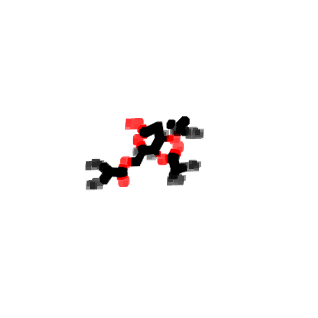 CCCC(CCC)C(=O)OC[C@H]1OC(O)C[C@@H](O[Si](C)(C)C(C)(C)C)[C@@H]1OC(=O)C(CCC)CCC